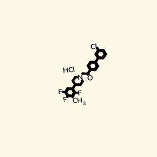 Cc1c(F)c(F)cc(C2=CCN(CC(=O)c3ccc(-c4cccc(Cl)c4)cc3)CC2)c1F.Cl